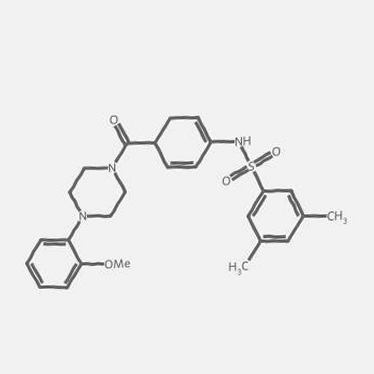 COc1ccccc1N1CCN(C(=O)C2C=CC(NS(=O)(=O)c3cc(C)cc(C)c3)=CC2)CC1